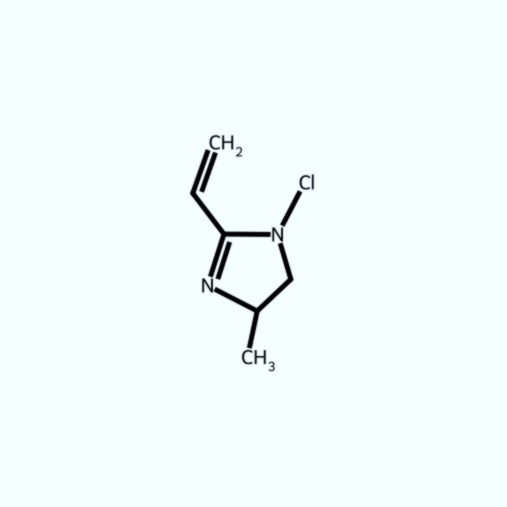 C=CC1=NC(C)CN1Cl